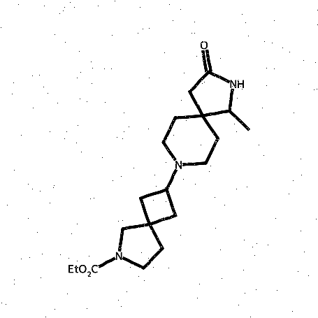 CCOC(=O)N1CCC2(CC(N3CCC4(CC3)CC(=O)NC4C)C2)C1